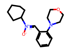 [O-]/[N+](=C\c1ccccc1N1CCOCC1)C1CCCCC1